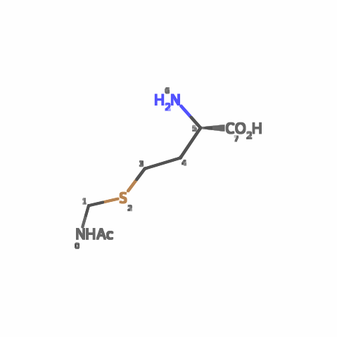 CC(=O)NCSCC[C@@H](N)C(=O)O